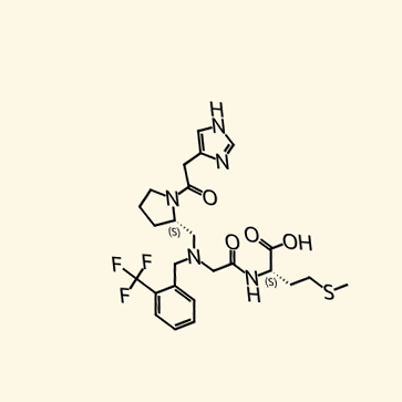 CSCC[C@H](NC(=O)CN(Cc1ccccc1C(F)(F)F)C[C@@H]1CCCN1C(=O)Cc1c[nH]cn1)C(=O)O